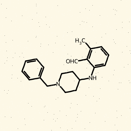 Cc1cccc(NC2CCN(Cc3ccccc3)CC2)c1C=O